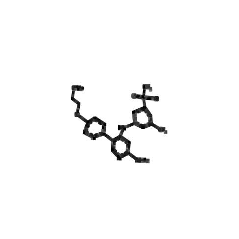 COCCOc1ccc(-c2cnc(NC(C)=O)cc2Nc2cc(C(F)(F)F)cc(S(C)(=O)=O)c2)nc1